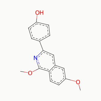 COc1ccc2c(OC)nc(-c3ccc(O)cc3)cc2c1